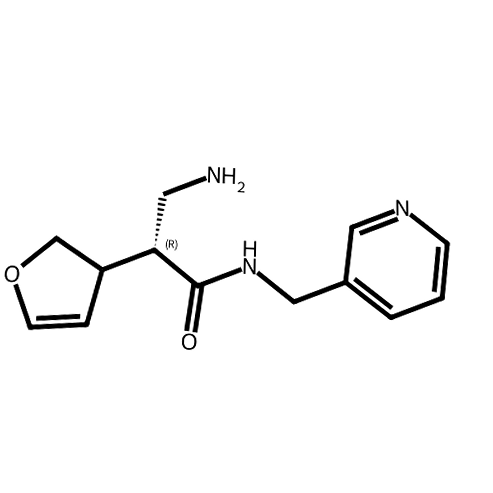 NC[C@H](C(=O)NCc1cccnc1)C1C=COC1